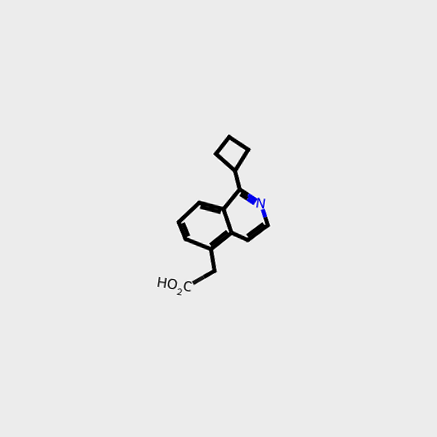 O=C(O)Cc1cccc2c(C3CCC3)nccc12